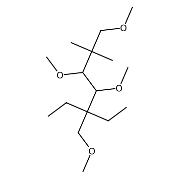 CCC(CC)(COC)C(OC)C(OC)C(C)(C)COC